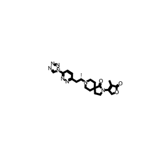 CC1=C(N2CCC3(CCN([C@@H](C)Cc4ccc(-n5cnnn5)nn4)CC3)C2=O)COC1=O